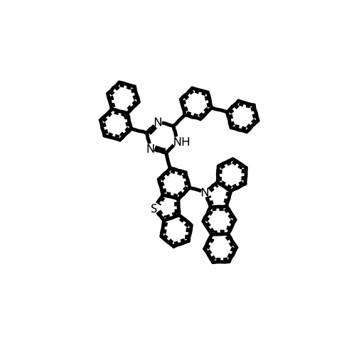 c1ccc(-c2cccc(C3N=C(c4cccc5ccccc45)N=C(c4cc(-n5c6ccccc6c6cc7ccccc7cc65)c5c(c4)sc4ccccc45)N3)c2)cc1